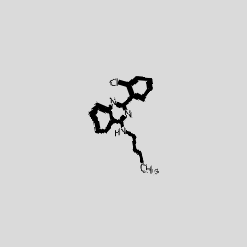 CCCCNc1nc(-c2ccccc2Cl)nc2ccccc12